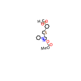 COC(=O)COc1cc(-c2ccc(-c3cccc(S(C)(=O)=O)c3)s2)n(-c2ccccc2)n1